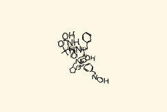 CC(C)(C)[C@H](NC(=O)O)C(=O)N[C@@H](Cc1ccccc1)[C@@H](O)CN(CC1CCCC1)S(=O)(=O)c1ccc(C=NO)cc1